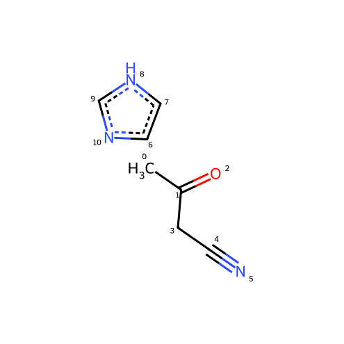 CC(=O)CC#N.c1c[nH]cn1